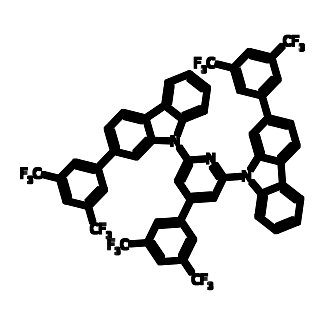 FC(F)(F)c1cc(-c2cc(-n3c4ccccc4c4ccc(-c5cc(C(F)(F)F)cc(C(F)(F)F)c5)cc43)nc(-n3c4ccccc4c4ccc(-c5cc(C(F)(F)F)cc(C(F)(F)F)c5)cc43)c2)cc(C(F)(F)F)c1